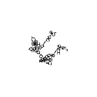 CCOC(=O)c1ccc(OCC#Cc2ccc(CC(NC(=O)C(Cc3ccccc3)NS(=O)(=O)c3ccc(C)cc3)C(=O)O)cc2)cc1.Cc1ccc(S(=O)(=O)NC(Cc2ccccc2)C(=O)NC(Cc2ccc(C#CCNC(N)=O)cc2)C(=O)O)cc1